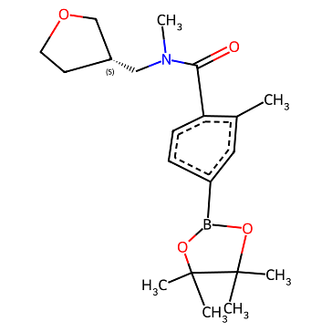 Cc1cc(B2OC(C)(C)C(C)(C)O2)ccc1C(=O)N(C)C[C@@H]1CCOC1